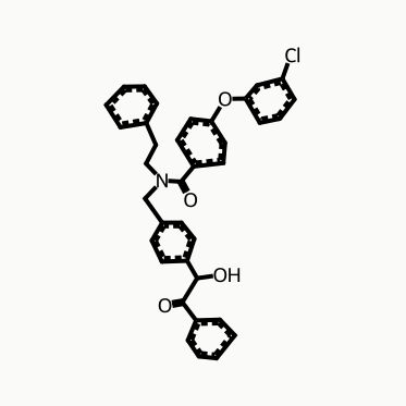 O=C(c1ccccc1)C(O)c1ccc(CN(CCc2ccccc2)C(=O)c2ccc(Oc3cccc(Cl)c3)cc2)cc1